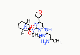 COC(=O)N1[C@@H]2CCC[C@H]1C[C@H](N(C)c1nc(NC(=N)/C=C(/C)N)cc(C3CCOC3)n1)C2